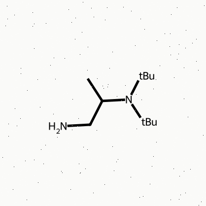 CC(CN)N(C(C)(C)C)C(C)(C)C